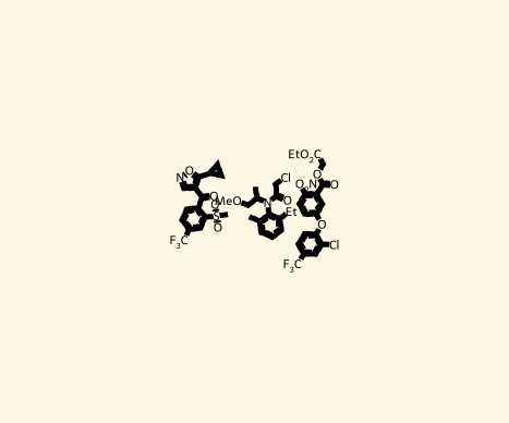 CCOC(=O)COC(=O)c1cc(Oc2ccc(C(F)(F)F)cc2Cl)ccc1[N+](=O)[O-].CCc1cccc(C)c1N(C(=O)CCl)C(C)COC.CS(=O)(=O)c1cc(C(F)(F)F)ccc1C(=O)c1cnoc1C1CC1